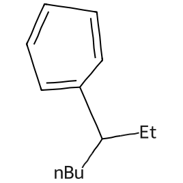 CCCCC(CC)c1ccccc1